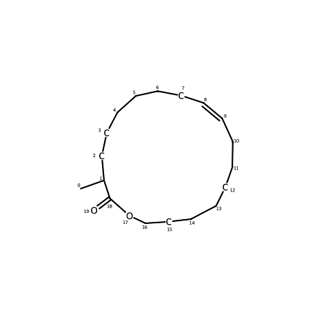 CC1CCCCCCC=CCCCCCCCOC1=O